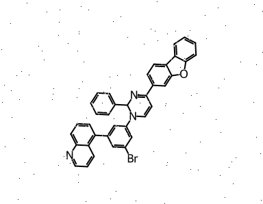 Brc1cc(-c2cccc3ncccc23)cc(N2C=CC(c3ccc4c(c3)oc3ccccc34)=NC2c2ccccc2)c1